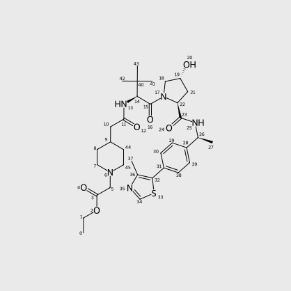 CCOC(=O)CN1CCC(CC(=O)N[C@H](C(=O)N2C[C@H](O)C[C@H]2C(=O)N[C@@H](C)c2ccc(-c3scnc3C)cc2)C(C)(C)C)CC1